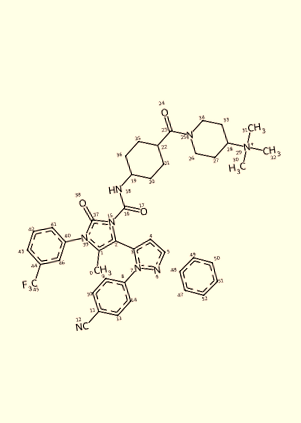 Cc1c(-c2ccnn2-c2ccc(C#N)cc2)n(C(=O)NC2CCC(C(=O)N3CCC([N+](C)(C)C)CC3)CC2)c(=O)n1-c1cccc(C(F)(F)F)c1.c1ccccc1